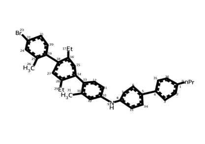 CCCc1ccc(-c2ccc(Nc3ccc(-c4cc(CC)c(-c5ccc(Br)cc5C)cc4CC)c(C)c3)cc2)cc1